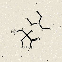 CC(CO)(CO)C(=O)O.CCN(CC)CC